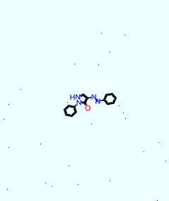 O=c1c(N=Nc2ccccc2)c[nH]n1-c1ccccc1